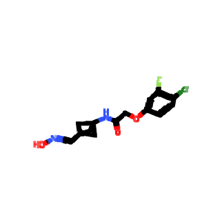 O=C(COc1ccc(Cl)c(F)c1)NC12CC(C=NO)(C1)C2